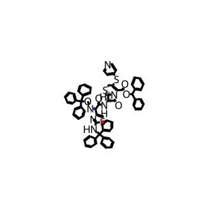 O=C(OC(c1ccccc1)c1ccccc1)C1=C(Sc2ccncc2)CS[C@@H]2[C@H](NC(=O)/C(=N\OC(c3ccccc3)(c3ccccc3)c3ccccc3)c3csc(NC(c4ccccc4)(c4ccccc4)c4ccccc4)n3)C(=O)N12